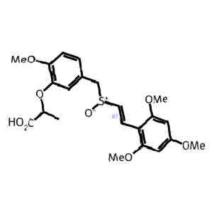 COc1cc(OC)c(/C=C/[S+]([O-])Cc2ccc(OC)c(OC(C)C(=O)O)c2)c(OC)c1